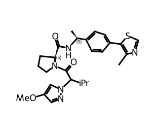 COc1cnn(C(C(=O)N2CCC[C@H]2C(=O)N[C@@H](C)c2ccc(-c3scnc3C)cc2)C(C)C)c1